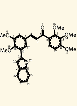 COc1cc(C=CC(=O)c2ccc(OC)c(OC)c2OC)cc(-c2cc3ccccc3s2)c1OC